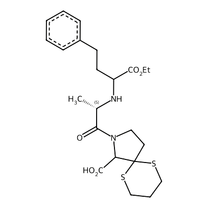 CCOC(=O)C(CCc1ccccc1)N[C@@H](C)C(=O)N1CCC2(SCCCS2)C1C(=O)O